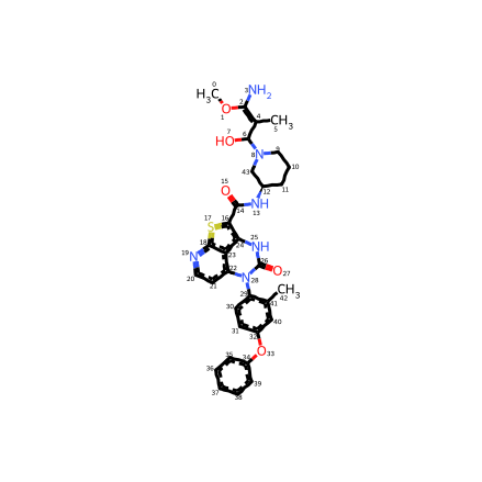 CO/C(N)=C(/C)C(O)N1CCC[C@@H](NC(=O)c2sc3nccc4c3c2NC(=O)N4c2ccc(Oc3ccccc3)cc2C)C1